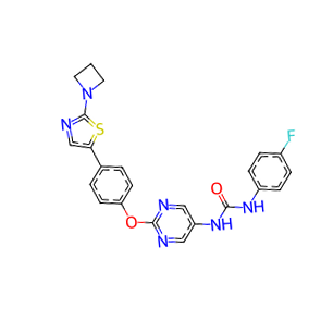 O=C(Nc1ccc(F)cc1)Nc1cnc(Oc2ccc(-c3cnc(N4CCC4)s3)cc2)nc1